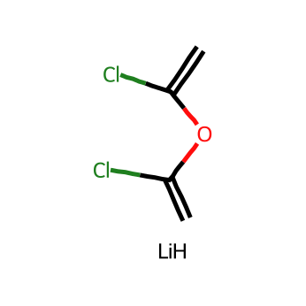 C=C(Cl)OC(=C)Cl.[LiH]